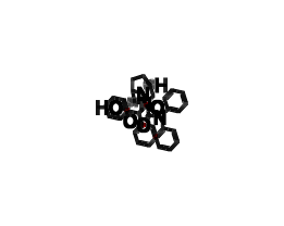 O=C(O)[C@@H]1C2CC[C@@H](CN1C(=O)N(c1ccccc1)c1ccccc1)N2C(=O)C(c1ccccc1)c1ccccc1